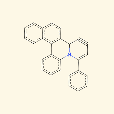 C1#CC2c3ccc4ccccc4c3-c3ccccc3N2C(c2ccccc2)=C1